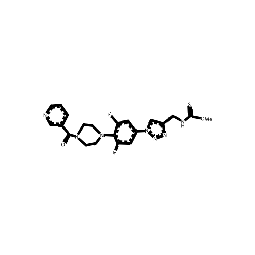 COC(=S)NCc1cn(-c2cc(F)c(N3CCN(C(=O)c4cccnc4)CC3)c(F)c2)nn1